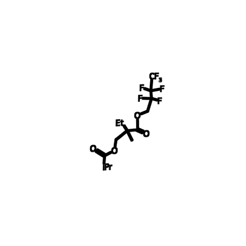 CCC(C)(COC(=O)C(C)C)C(=O)OCC(F)(F)C(F)(F)C(F)(F)F